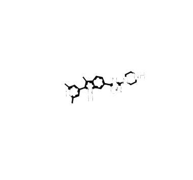 Cc1cc(-c2[nH]c3cc(-c4nc(N5CCNCC5)no4)ccc3c2C)cc(C)n1